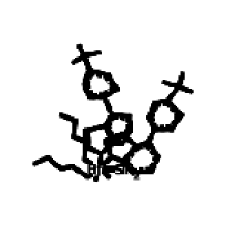 CCCC[CH2][Hf]([CH3])([CH3])(=[SiH2])([CH2]CCCC)([CH]1C=Cc2c(-c3ccc(C(C)(C)C)cc3)cccc21)[CH]1C=Cc2c(-c3ccc(C(C)(C)C)cc3)cccc21